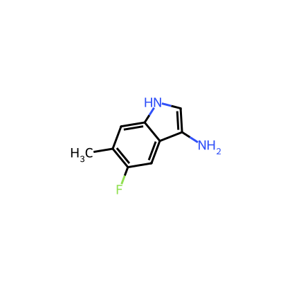 Cc1cc2[nH]cc(N)c2cc1F